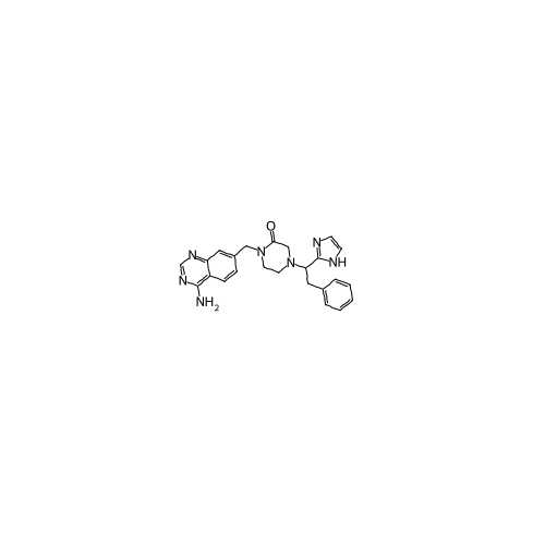 Nc1ncnc2cc(CN3CCN(C(Cc4ccccc4)c4ncc[nH]4)CC3=O)ccc12